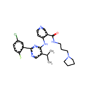 CC(C)c1cnc(-c2cc(Cl)ccc2F)nc1Nc1ccncc1C(=O)NCCCN1CCCC1